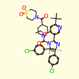 CCOc1cc(C(C)(C)C)ncc1C1=N[C@@](C)(c2ccc(Cl)cc2)[C@@](C)(c2ccc(Cl)cc2)N1C(=O)N1CCC(C(=O)N2CCS(=O)(=O)CC2)CC1